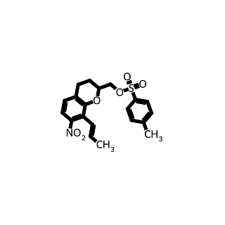 CC=Cc1c([N+](=O)[O-])ccc2c1OC(COS(=O)(=O)c1ccc(C)cc1)CC2